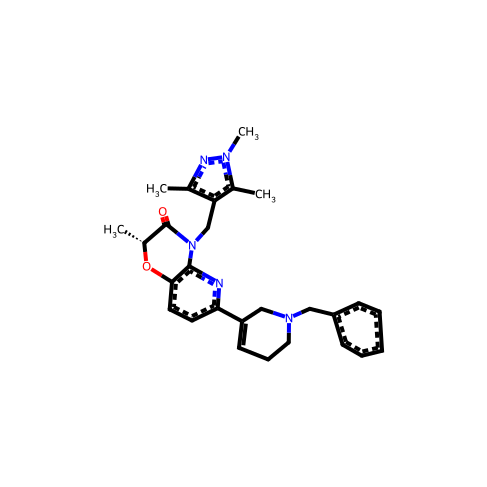 Cc1nn(C)c(C)c1CN1C(=O)[C@@H](C)Oc2ccc(C3=CCCN(Cc4ccccc4)C3)nc21